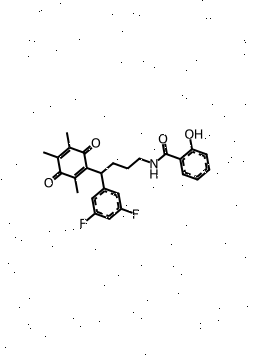 CC1=C(C)C(=O)C(C(CCCNC(=O)c2ccccc2O)c2cc(F)cc(F)c2)=C(C)C1=O